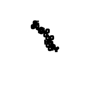 CC(C)CCC(CNC(=O)OCOC(=O)c1ccc(CO[N+](=O)[O-])cc1)C(=O)O